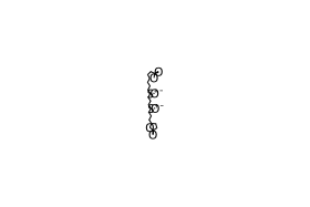 O=C1CCC(CCC[S+]([O-])CCC[S+]([O-])CCCC2CCC(=O)O2)O1